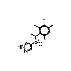 Cc1cc(F)c(C(C)[S+]([O-])c2cn[nH]c2)c(F)c1F